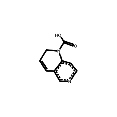 O=C(O)N1CC=Cc2cnccc21